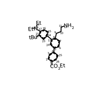 CCOC(=O)c1ccc(-c2ccc(CCCN)c(-c3ccc(N(CC)CC)c(C(C)(C)C)c3)c2)cc1